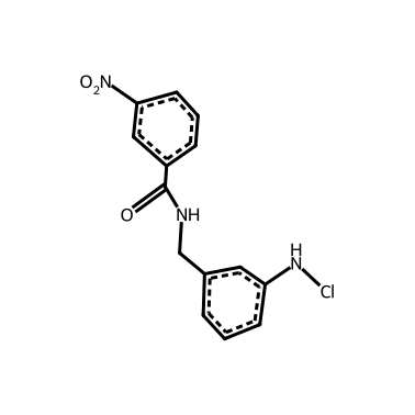 O=C(NCc1cccc(NCl)c1)c1cccc([N+](=O)[O-])c1